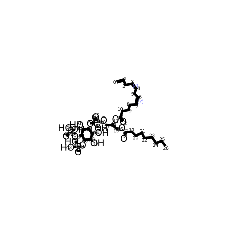 C=CC/C=C\C/C=C\CCCC(=O)OC(COC(=O)CCCCCCCC)COP(=O)(O)O[C@@H]1[C@H](O)[C@H](O)[C@@H](OP(=O)(O)O)[C@H](OP(=O)(O)O)[C@H]1O